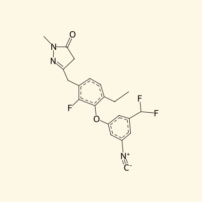 [C-]#[N+]c1cc(Oc2c(CC)ccc(CC3=NN(C)C(=O)C3)c2F)cc(C(F)F)c1